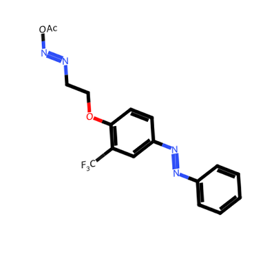 CC(=O)ON=NCCOc1ccc(N=Nc2ccccc2)cc1C(F)(F)F